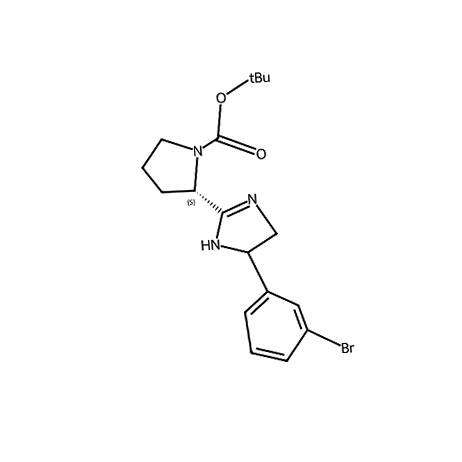 CC(C)(C)OC(=O)N1CCC[C@H]1C1=NCC(c2cccc(Br)c2)N1